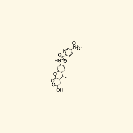 CC1c2ccc(NS(=O)(=O)c3ccc([N+](=O)[O-])cn3)cc2OC(=O)C1CC(=O)O